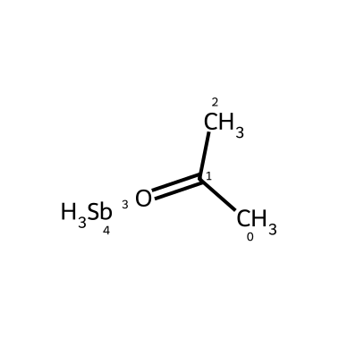 CC(C)=O.[SbH3]